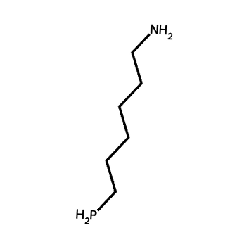 NCCCCCCP